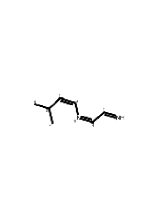 CC(C)/C=C\N=C/C=N